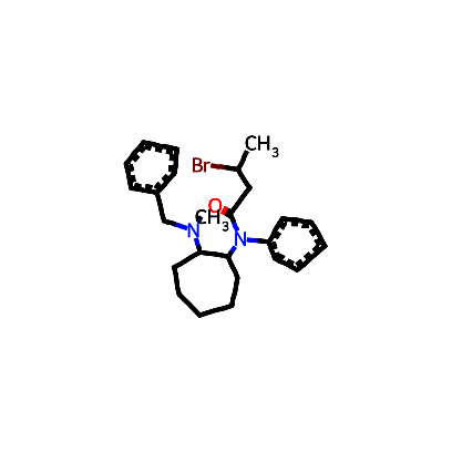 CC(Br)CC(=O)N(c1ccccc1)C1CCCCCC1N(C)Cc1ccccc1